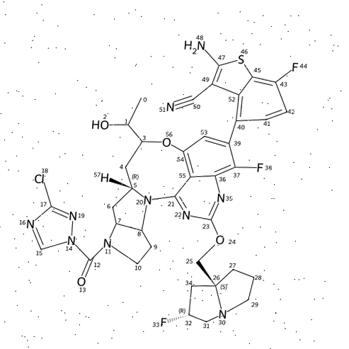 CC(O)C1C[C@H]2CC3C(CCN3C(=O)n3cnc(Cl)n3)N2c2nc(OC[C@@]34CCCN3C[C@H](F)C4)nc3c(F)c(-c4ccc(F)c5sc(N)c(C#N)c45)cc(c23)O1